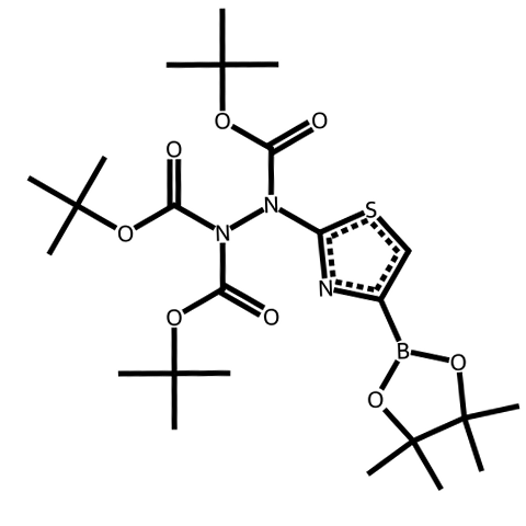 CC(C)(C)OC(=O)N(C(=O)OC(C)(C)C)N(C(=O)OC(C)(C)C)c1nc(B2OC(C)(C)C(C)(C)O2)cs1